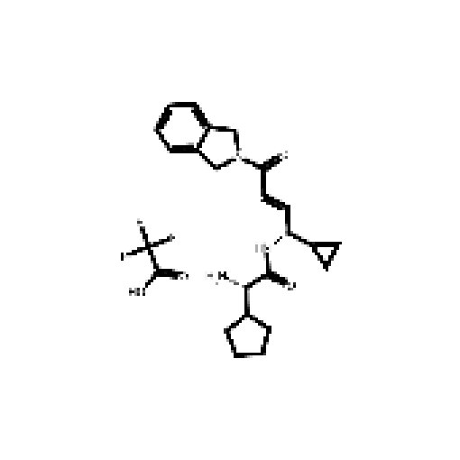 N[C@H](C(=O)N[C@H](/C=C/C(=O)N1Cc2ccccc2C1)C1CC1)C1CCCC1.O=C(O)C(F)(F)F